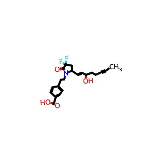 CC#CCCC(O)C=CC1CC(F)(F)C(=O)N1CCc1ccc(C(=O)O)cc1